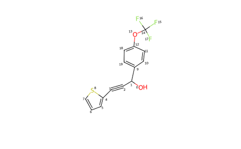 OC(C#Cc1cccs1)c1ccc(OC(F)(F)F)cc1